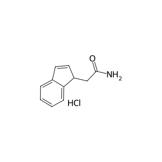 Cl.NC(=O)CC1C=Cc2ccccc21